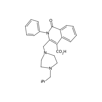 CC(C)CN1CCN(Cc2c(C(=O)O)c3ccccc3c(=O)n2-c2ccccc2)CC1